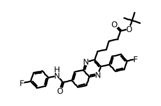 CC(C)(C)OC(=O)CCCCc1nc2cc(C(=O)Nc3ccc(F)cc3)ccc2nc1-c1ccc(F)cc1